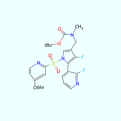 COc1ccnc(S(=O)(=O)n2cc(CN(C)C(=O)OC(C)(C)C)c(F)c2-c2cccnc2F)c1